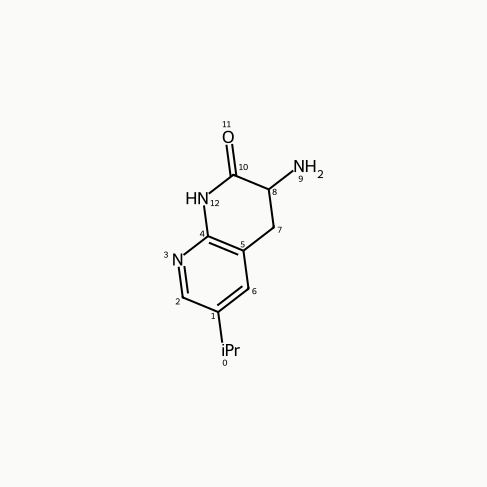 CC(C)c1cnc2c(c1)CC(N)C(=O)N2